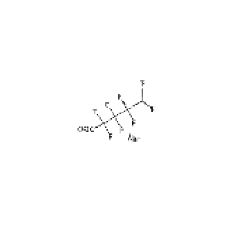 O=C([O-])C(F)(F)C(F)(F)C(F)(F)C(F)F.[Na+]